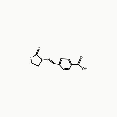 O=C(O)c1ccc(C=NN2CCOC2=O)cc1